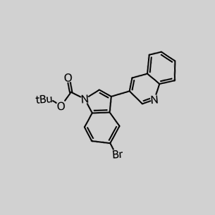 CC(C)(C)OC(=O)n1cc(-c2cnc3ccccc3c2)c2cc(Br)ccc21